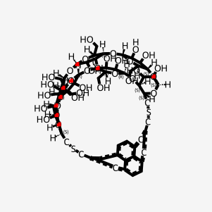 OC[C@H]1O[C@@H]2O[C@H]3C(O)C(O)[C@H](O[C@@H]3CO)O[C@H]3C(O)C(O)[C@@H]4O[C@@H]3CSCc3cc5ccc6cc(cc7ccc(c3)c5c67)CSC[C@H]3O[C@H](O[C@H]5C(O)C(O)[C@H](O[C@@H]5CO)O[C@H]1C(O)C2O)C(O)C(O)[C@@H]3O[C@H]1O[C@H](CO)[C@@H](O[C@H]2O[C@H](CO)[C@@H](O4)C(O)C2O)C(O)C1O